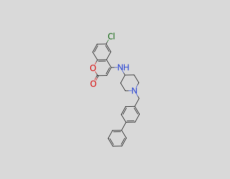 O=c1cc(NC2CCN(Cc3ccc(-c4ccccc4)cc3)CC2)c2cc(Cl)ccc2o1